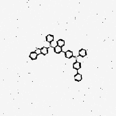 c1ccc(-c2ccc(N(c3ccccc3)c3ccc(-c4ccc(N(c5ccccc5)c5ccc6c(c5)sc5ccccc56)c5ccccc45)cc3)cc2)cc1